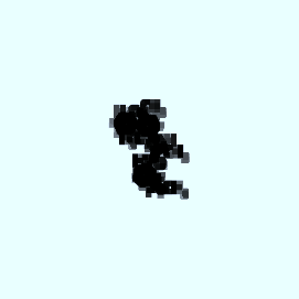 CCC(F)(F)c1cccc(NC(=O)c2nc(-c3ccc(C(C)C)c(-c4ccccc4C)c3C)[nH]c2C)c1